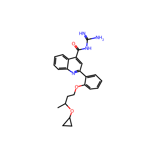 CC(CCOc1ccccc1-c1cc(C(=O)NC(=N)N)c2ccccc2n1)OC1CC1